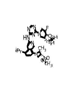 [2H]C([2H])([2H])O[C@H]1CCN(c2ncnc(Nc3cc4c(C(C)C)ccc(N5C[C@@H](CS(C)(=O)=O)[C@@H]5C)c4cn3)n2)C[C@H]1F